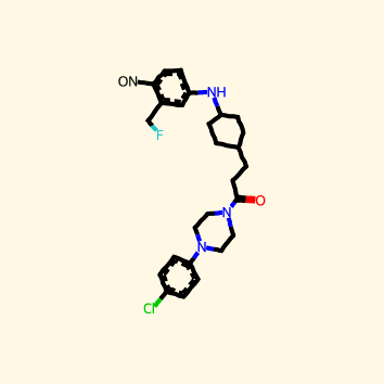 O=Nc1ccc(NC2CCC(CCC(=O)N3CCN(c4ccc(Cl)cc4)CC3)CC2)cc1CF